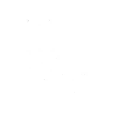 CC(C)(C(=O)O)S(=O)(=O)C(=S)S(=O)(=O)C(C)(C)C(=O)O